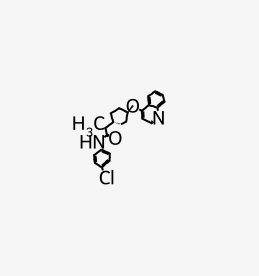 C[C@H](C(=O)Nc1ccc(Cl)cc1)[C@H]1CC[C@H](Oc2ccnc3ccccc23)CC1